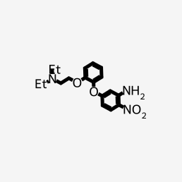 CCN(CC)CCOc1ccccc1Oc1ccc([N+](=O)[O-])c(N)c1